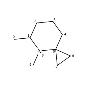 CC1CCCC2(CC2)N1C